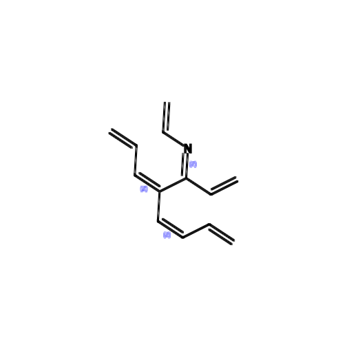 C=C\C=C/C(=C/C=C)C(/C=C)=N\C=C